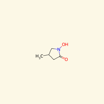 CC1CC(=O)N(O)C1